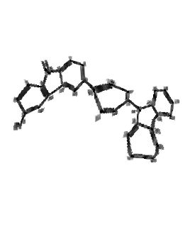 CC(C)c1ccc2[nH]c3ccc(-c4ccc(-n5c6ccccc6c6ccccc65)cc4)cc3c2c1